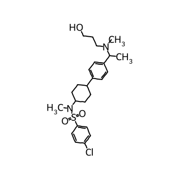 CC(c1ccc(C2CCC(N(C)S(=O)(=O)c3ccc(Cl)cc3)CC2)cc1)N(C)CCCO